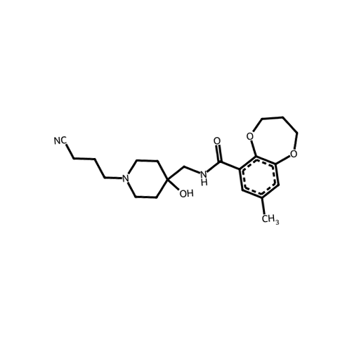 Cc1cc2c(c(C(=O)NCC3(O)CCN(CCCC#N)CC3)c1)OCCCO2